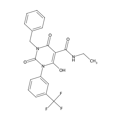 CCNC(=O)c1c(O)n(-c2cccc(C(F)(F)F)c2)c(=O)n(Cc2ccccc2)c1=O